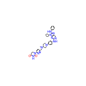 CN(Cc1ccc(N2CCC(=O)NC2=O)nn1)C1CCN(c2ccc(Nc3ncc4nc(Nc5ccccc5)n(C5CCCC5)c4n3)cc2)CC1